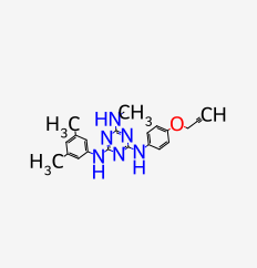 C#CCOc1ccc(Nc2nc(NC)nc(Nc3cc(C)cc(C)c3)n2)cc1